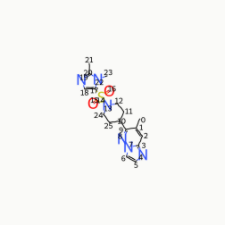 Cc1cc2nccn2nc1C1CCN(S(=O)(=O)c2cnc(C)n2C)CC1